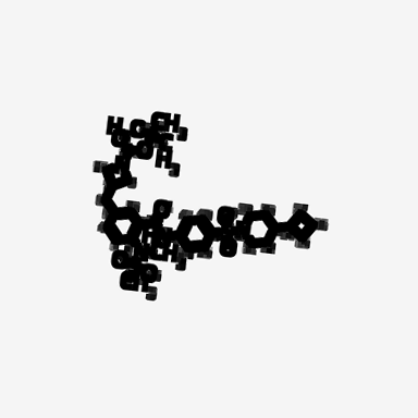 CN(c1ccc(CC2CN(C(=O)OC(C)(C)C)C2)cc1C(=O)Nc1ccc(S(=O)(=O)N2CCC(C3CCC3)CC2)cc1)S(C)(=O)=O